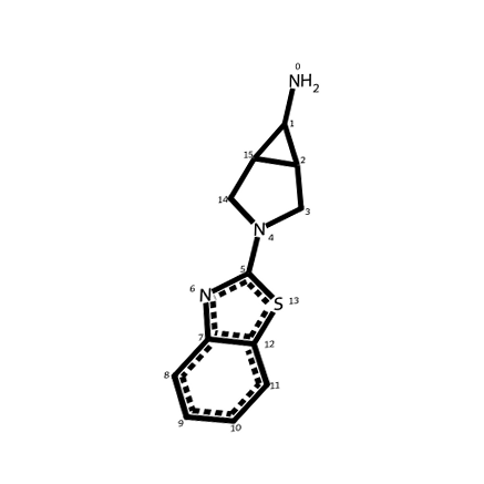 NC1C2CN(c3nc4ccccc4s3)CC12